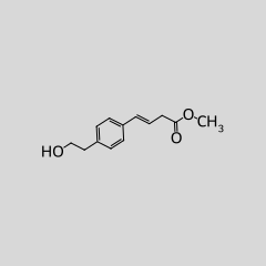 COC(=O)C/C=C/c1ccc(CCO)cc1